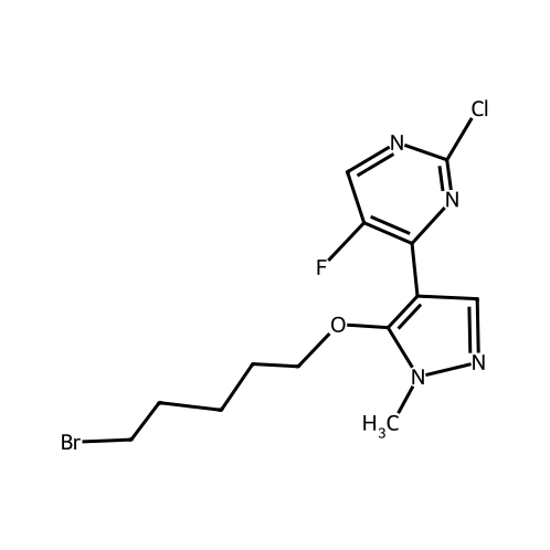 Cn1ncc(-c2nc(Cl)ncc2F)c1OCCCCCBr